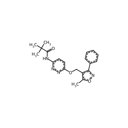 Cc1onc(-c2ccccc2)c1COc1ccc(NC(=O)C(C)(C)C)nn1